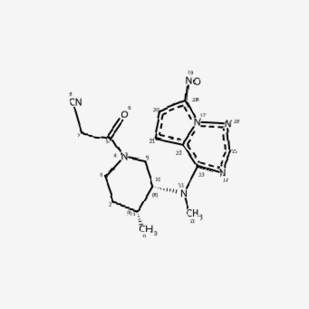 C[C@@H]1CCN(C(=O)CC#N)C[C@@H]1N(C)c1ncnn2c(N=O)ccc12